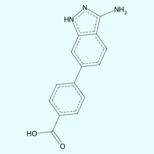 Nc1n[nH]c2cc(-c3ccc(C(=O)O)cc3)ccc12